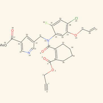 C#CCOC(=O)C1=C(C(=O)N(Cc2cncc(C(=O)OC)c2)c2cc(OCC=C)c(Cl)cc2F)CCCC1